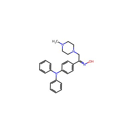 CN1CCN(C/C(=N\O)c2ccc(N(c3ccccc3)c3ccccc3)cc2)CC1